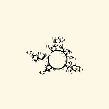 CC[Si](CC)(CC)O[C@H]1[C@@H](C)CCCc2nc(C)sc2C[C@@H](C(C)=Cc2csc(C)n2)OC(=O)C[C@H](O[Si](CC)(CC)CC)C(C)(C)C(=O)[C@@H]1C